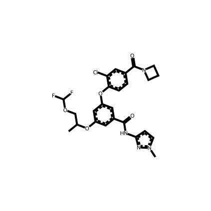 CC(COC(F)F)Oc1cc(Oc2ccc(C(=O)N3CCC3)cc2Cl)cc(C(=O)Nc2ccn(C)n2)c1